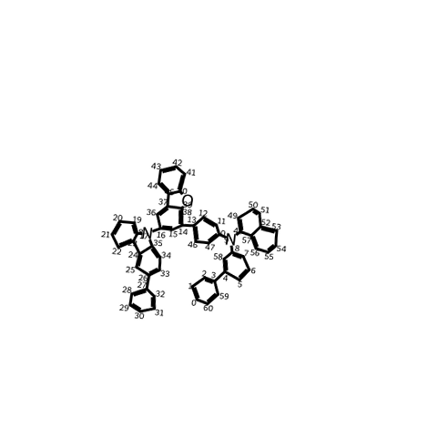 c1ccc(-c2cccc(N(c3ccc(-c4cc(-n5c6ccccc6c6cc(-c7ccccc7)ccc65)cc5c4oc4ccccc45)cc3)c3cccc4ccccc34)c2)cc1